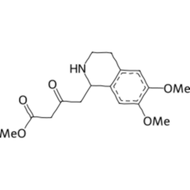 COC(=O)CC(=O)CC1NCCc2cc(OC)c(OC)cc21